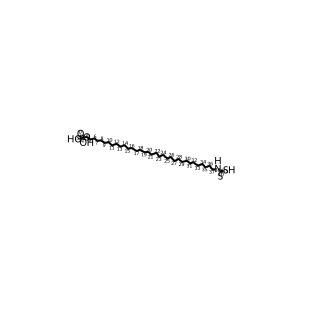 O=P(O)(O)OCCCCCCCCCCCCCCCCCCCCCCCCCCCCCCCCCNC(=S)S